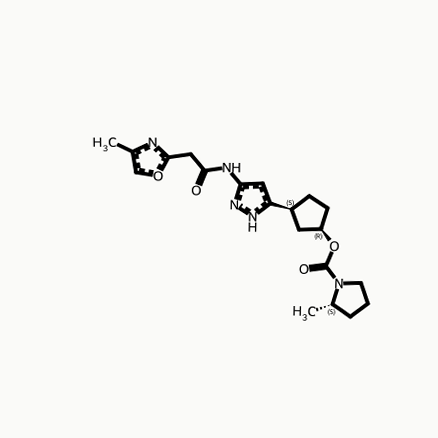 Cc1coc(CC(=O)Nc2cc([C@H]3CC[C@@H](OC(=O)N4CCC[C@@H]4C)C3)[nH]n2)n1